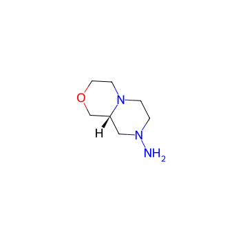 NN1CCN2CCOC[C@H]2C1